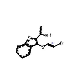 C=C(S)c1sc2ccccc2c1S/C=C/Br